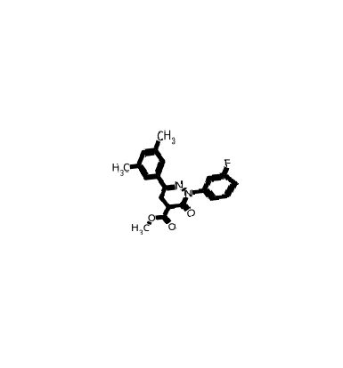 COC(=O)C1CC(c2cc(C)cc(C)c2)=NN(c2cccc(F)c2)C1=O